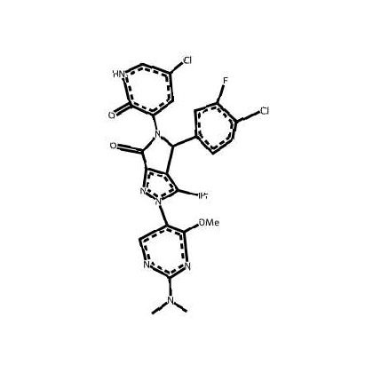 COc1nc(N(C)C)ncc1-n1nc2c(c1C(C)C)C(c1ccc(Cl)c(F)c1)N(c1cc(Cl)c[nH]c1=O)C2=O